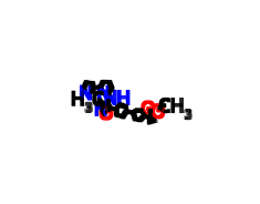 CCOC(=O)C1(c2ccc(-c3ccc(-c4onc(C)c4Nc4cccc(-c5cccnc5)n4)cc3)cc2)CC1